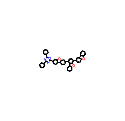 c1ccc(-c2nc(-c3ccccc3)nc(-c3ccc4c(c3)oc3cc(-c5ccc(-c6ccc7oc8ccccc8c7c6)c6oc7ccccc7c56)ccc34)n2)cc1